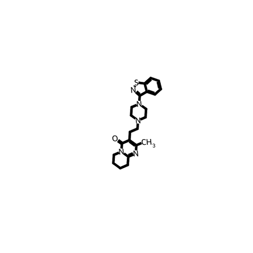 Cc1nc2n(c(=O)c1CCN1CCN(c3nsc4ccccc34)CC1)CCCC2